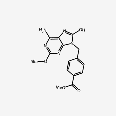 CCCCOc1nc(N)c2nc(O)n(Cc3ccc(C(=O)OC)cc3)c2n1